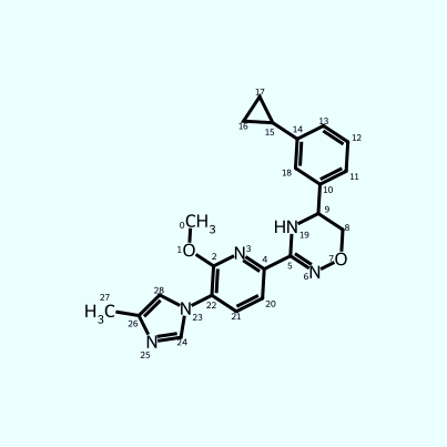 COc1nc(C2=NOCC(c3cccc(C4CC4)c3)N2)ccc1-n1cnc(C)c1